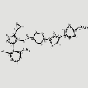 Cc1cccc(F)c1-c1noc(C2CC2)c1COC1CCN(c2nc(-c3ccc(C(=O)O)cc3)cs2)CC1